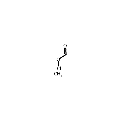 C.O=COCl